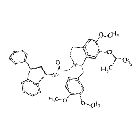 COc1ccc(CC2c3cc(OC(C)C)c(OC)cc3CCN2CC(=O)NC2CC(c3ccccc3)c3ccccc32)cc1OC